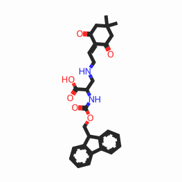 CC1(C)CC(=O)C(=CCNCC(NC(=O)OCC2c3ccccc3-c3ccccc32)C(=O)O)C(=O)C1